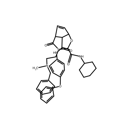 CN(CCN1C(=O)C2C=CC(OC1C(=O)NC1CCCCC1)C2C(=O)Nc1ccc(Oc2ccccc2)cc1)Cc1ccccc1